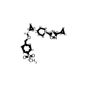 CS(=O)(=O)c1ccc(COC[C@@H]2C[C@@H]2C2CCN(c3nc(C4CC4)no3)CC2)cc1